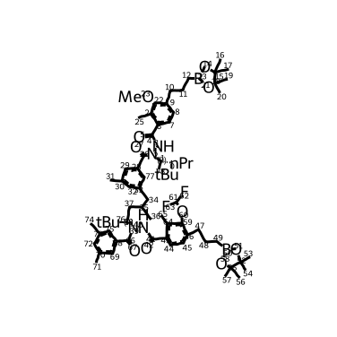 CCC[C@@H](N(NC(=O)c1ccc(CCCB2OC(C)(C)C(C)(C)O2)c(OC)c1C)C(=O)c1cc(C)cc(CC(C)C[C@@H](N(NC(=O)c2ccc(CCCB3OC(C)(C)C(C)(C)O3)c(OC(F)F)c2C)C(=O)c2cc(C)cc(C)c2)C(C)(C)C)c1)C(C)(C)C